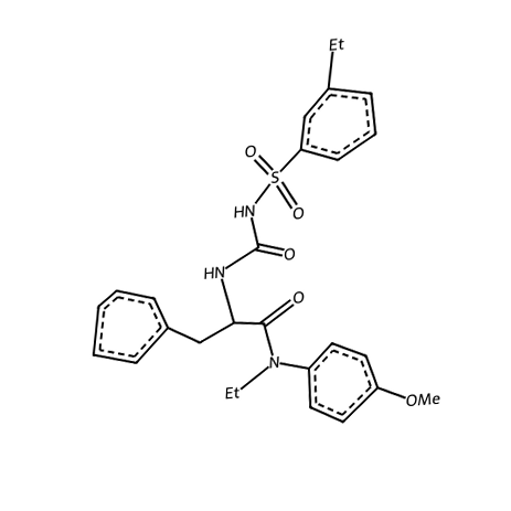 CCc1cccc(S(=O)(=O)NC(=O)NC(Cc2ccccc2)C(=O)N(CC)c2ccc(OC)cc2)c1